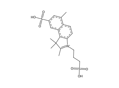 CC1=[N+](CCCS(=O)(=O)O)c2ccc3c(C)cc(S(=O)(=O)O)cc3c2C1(C)C